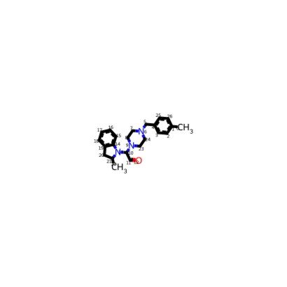 Cc1ccc(CN2CCN(C(C=O)N3c4ccccc4CC3C)CC2)cc1